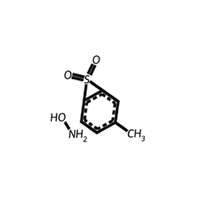 Cc1ccc2c(c1)S2(=O)=O.NO